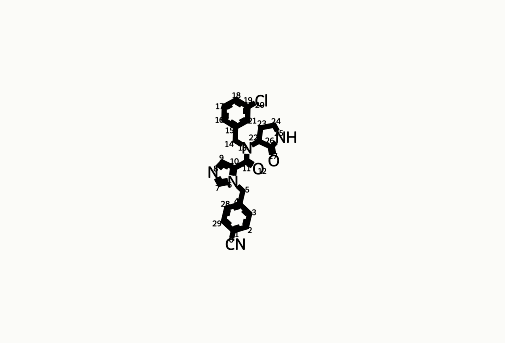 N#Cc1ccc(Cn2cncc2C(=O)N(Cc2cccc(Cl)c2)C2CCNC2=O)cc1